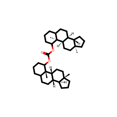 C[C@@]12CCC[C@H]1[C@@H]1CCC3CCCC(OC(=O)OC4CCCC5CC[C@@H]6[C@@H](CC[C@]7(C)CCC[C@@H]67)[C@]54C)[C@]3(C)[C@@H]1CC2